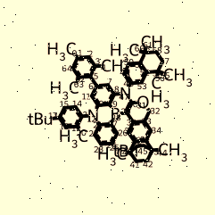 Cc1cc(C)c(-c2cc3c4c(c2)N(c2ccc(C(C)(C)C)cc2C)c2ccc(C(C)(C)C)cc2B4C2=C(OCc4cc5c(cc42)C2(C)CCC5(C)CC2)N3c2ccc3c(c2)C(C)(C)CCC3(C)C)c(C)c1